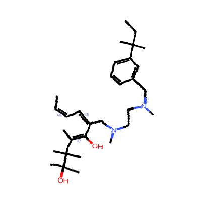 C\C=C/C=C(CN(C)CCN(C)Cc1cccc(C(C)(C)CC)c1)\C(O)=C(/C)C(C)(C)C(C)(C)O